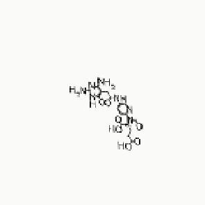 Nc1nc(N)c(CC(=O)Nc2ccc(N(C=O)[C@@H](CCC(=O)O)C(=O)O)nc2)c(=O)[nH]1